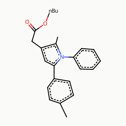 CCCCOC(=O)Cc1cc(-c2ccc(C)cc2)n(-c2ccccc2)c1C